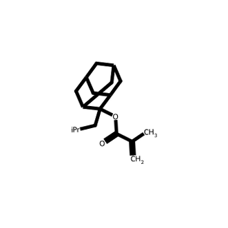 C=C(C)C(=O)OC1(CC(C)C)C2CC3CC(C2)CC1C3